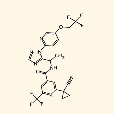 CC(NC(=O)c1cc(C(F)(F)F)nc(C2(C#N)CC2)c1)c1ncnn1-c1ccc(OCC(F)(F)F)cn1